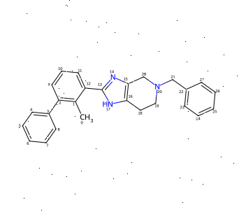 Cc1c(-c2ccccc2)cccc1-c1nc2c([nH]1)CCN(Cc1ccccc1)C2